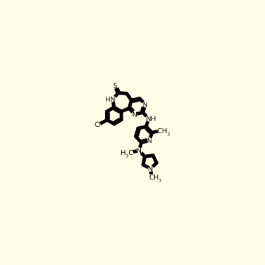 Cc1nc(N(C)C2CCN(C)C2)ccc1Nc1ncc2c(n1)-c1ccc(Cl)cc1NC(=S)C2